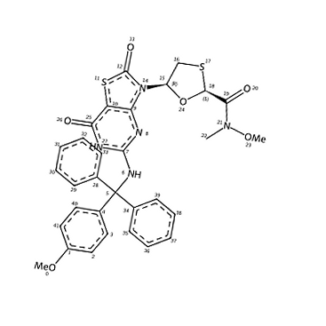 COc1ccc(C(Nc2nc3c(sc(=O)n3[C@H]3CS[C@@H](C(=O)N(C)OC)O3)c(=O)[nH]2)(c2ccccc2)c2ccccc2)cc1